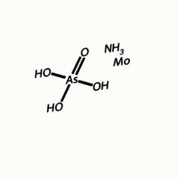 N.O=[As](O)(O)O.[Mo]